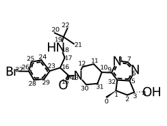 C[C@@H]1C[C@@H](O)c2ncnc(C3CCN(C(=O)C(CNC(C)(C)C)c4ccc(Br)cc4)CC3)c21